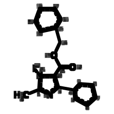 Cc1nc(-c2ccccc2)c(C(=O)OCc2ccccc2)n1I